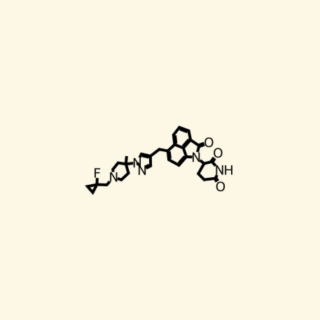 CC1(n2cc(Cc3ccc4c5c(cccc35)C(=O)N4C3CCC(=O)NC3=O)cn2)CCN(CC2(F)CC2)CC1